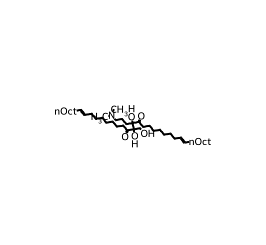 CCCCCCCCC=CCCCCCCCC(=O)C(O)(CO)C(O)(CCCN(C)C)C(=O)CCCCCCCC=CCCCCCCCC